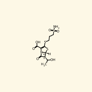 CC(O)[C@H]1C(=O)N2C(C(=O)O)=C(SCCCS(N)(=O)=O)S[C@H]12